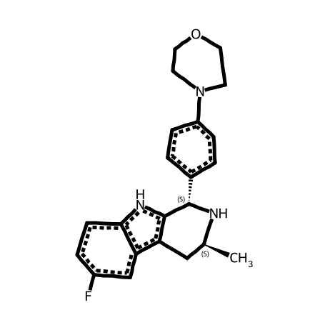 C[C@H]1Cc2c([nH]c3ccc(F)cc23)[C@H](c2ccc(N3CCOCC3)cc2)N1